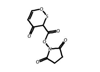 O=C1C=COSC1C(=O)ON1C(=O)CCC1=O